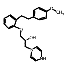 COc1ccc(CCc2ccccc2OC[C@@H](O)CN2C=CNC=C2)cc1